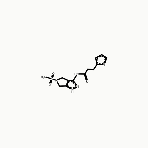 NS(=O)(=O)N1Cc2[nH]nc(NC(=O)CCc3cccs3)c2C1